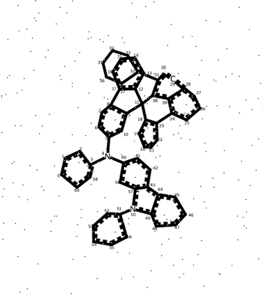 c1ccc(N(c2ccc3c(c2)C2(c4ccccc4-3)c3ccccc3-c3cccc4ccc(C5CCCCC5)c2c34)c2ccc3c4ccccc4n(-c4ccccc4)c3c2)cc1